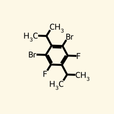 CC(C)c1c(F)c(Br)c(C(C)C)c(Br)c1F